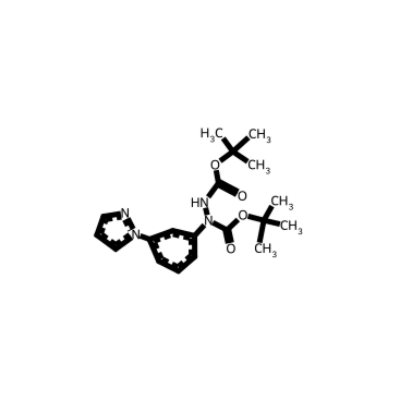 CC(C)(C)OC(=O)NN(C(=O)OC(C)(C)C)c1cccc(-n2cccn2)c1